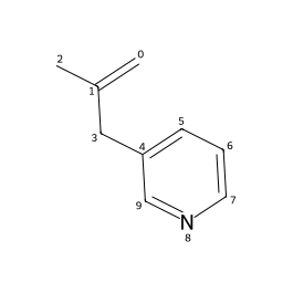 C=C(C)Cc1cccnc1